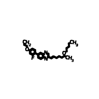 C=CCOc1ccc(-c2ccc3nc(/C=C/CCCC(C)OCCCCC)cnc3c2)c(F)c1